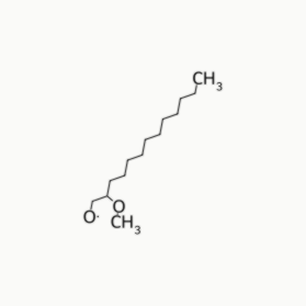 CCCCCCCCCCCC(C[O])OC